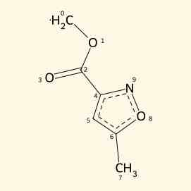 [CH2]OC(=O)c1cc(C)on1